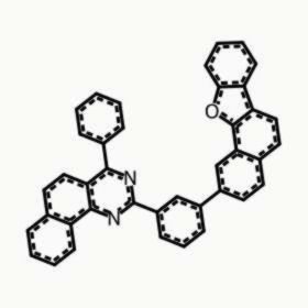 c1ccc(-c2nc(-c3cccc(-c4ccc5ccc6c7ccccc7oc6c5c4)c3)nc3c2ccc2ccccc23)cc1